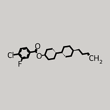 C=CCC[C@H]1CC[C@H]([C@H]2CC[C@H](OC(=O)c3ccc(Cl)c(F)c3)CC2)CC1